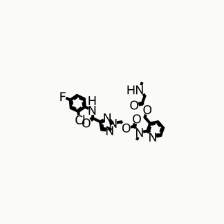 CNCC(=O)OCc1cccnc1N(C)C(=O)OCn1ncc(C(=O)Nc2ccc(F)cc2Cl)n1